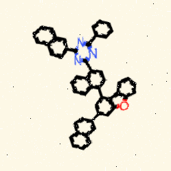 c1ccc(-c2nc(-c3ccc4ccccc4c3)nc(-c3ccc(-c4cc(-c5ccc6ccccc6c5)cc5oc6ccccc6c45)c4ccccc34)n2)cc1